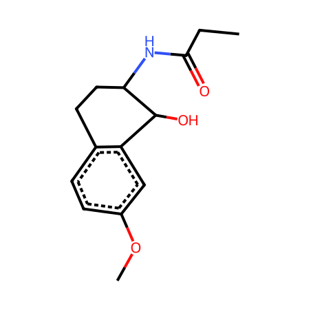 CCC(=O)NC1CCc2ccc(OC)cc2C1O